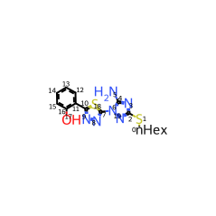 CCCCCCSc1nc(N)n(-c2nnc(-c3ccccc3O)s2)n1